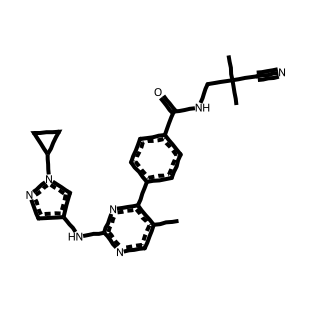 Cc1cnc(Nc2cnn(C3CC3)c2)nc1-c1ccc(C(=O)NCC(C)(C)C#N)cc1